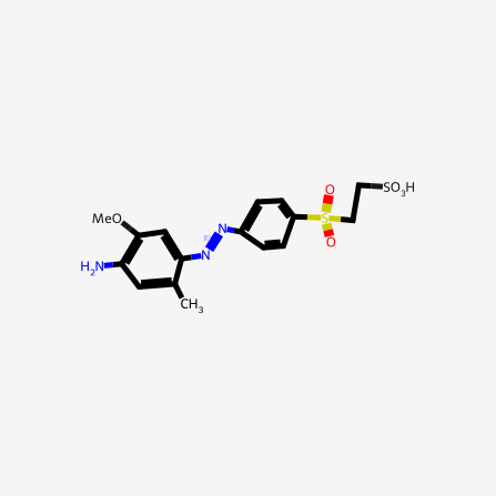 COc1cc(/N=N/c2ccc(S(=O)(=O)CCS(=O)(=O)O)cc2)c(C)cc1N